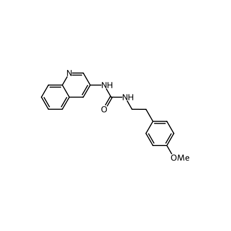 COc1ccc(CCNC(=O)Nc2cnc3ccccc3c2)cc1